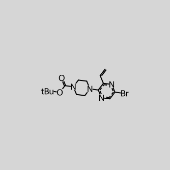 C=Cc1nc(Br)cnc1N1CCN(C(=O)OC(C)(C)C)CC1